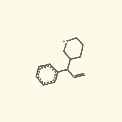 C=CC(c1ccccc1)C1CCCNC1